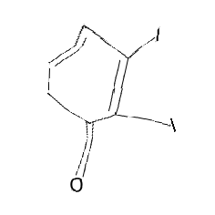 O=C1CC=CC(I)=C1I